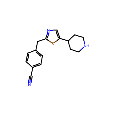 N#Cc1ccc(Cc2ncc(C3CCNCC3)s2)cc1